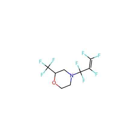 FC(F)=C(F)C(F)(F)N1CCOC(C(F)(F)F)C1